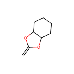 C=C1OC2CCCCC2O1